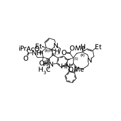 CCC1=C[C@@H]2CN(CCc3c([nH]c4ccccc34)[C@@](C(=O)OC)(c3cc4c(cc3OC)N(C)[C@H]3C(O)(CNC(=O)C(C)C)[C@H](OC(C)=O)[C@]5(CC)C=CCN6CC[C@]43[C@@H]65)C2)C1